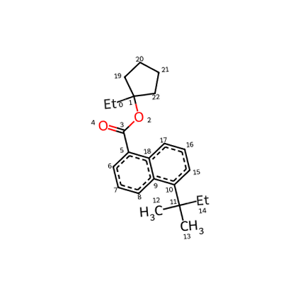 CCC1(OC(=O)c2cccc3c(C(C)(C)CC)cccc23)CCCC1